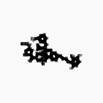 O=CO[C@H]1CNC(C(=O)N2C[C@@H]3CC(c4ccc(CCCOc5c(F)ccc(F)c5F)cc4)=C(C(=O)N(Cc4cccc(C(F)(F)F)c4)C4CC4)[C@H](C2)N3)C1